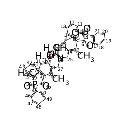 Cc1cc(C)c(C(=O)P(=O)(c2ccccc2)c2ccccc2)c(C)c1CN(Cc1c(C)cc(C)c(C(=O)P(=O)(c2ccccc2)c2ccccc2)c1C)C(C)O